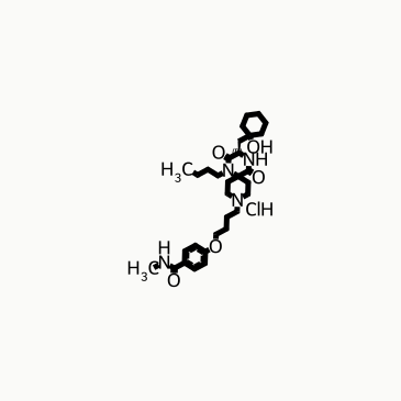 CCCCN1C(=O)[C@@H](CC2(O)CCCCC2)NC(=O)C12CCN(CCCCOc1ccc(C(=O)NC)cc1)CC2.Cl